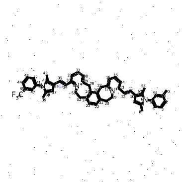 Cc1cccc(-n2c(C)cc(/C=C/c3cccc4[n+]3CCc3ccc5c(c3C4)Cc3cccc(/C=C/c4cc(C)n(-c6cccc(C(F)(F)F)c6)c4C)[n+]3CC5)c2C)c1